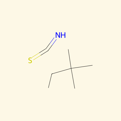 CCC(C)(C)C.N=C=S